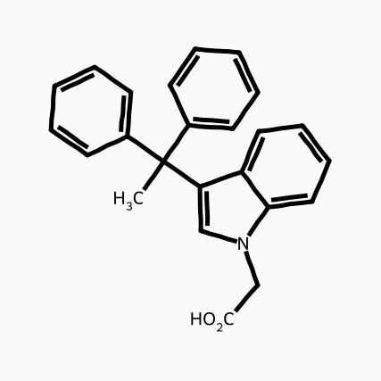 CC(c1ccccc1)(c1ccccc1)c1cn(CC(=O)O)c2ccccc12